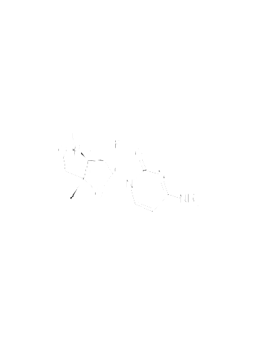 C[C@]1(CO)O[C@@H](n2ccc(N)nc2=O)[C@@H](F)[C@@H]1O